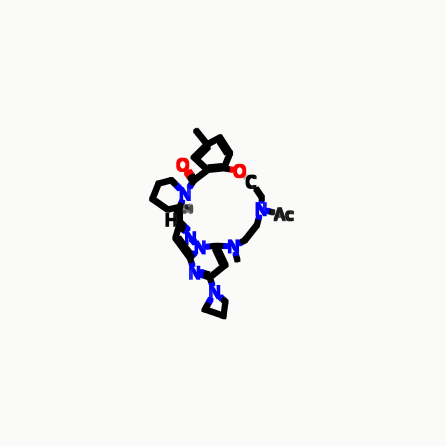 CC(=O)N1CCOc2ccc(C)cc2C(=O)N2CCCC[C@H]2c2cc3nc(N4CCC4)cc(n3n2)N(C)CC1